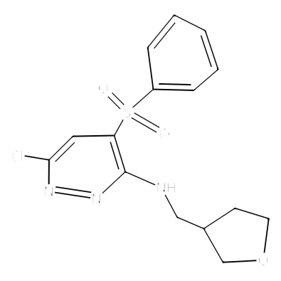 O=S(=O)(c1ccccc1)c1cc(Cl)nnc1NCC1CCOC1